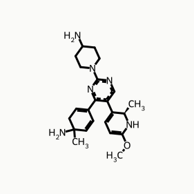 COC1=CC=C(c2cnc(N3CCC(N)CC3)nc2C2=CCC(C)(N)C=C2)[C@@H](C)N1